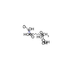 CN(C(=O)CCCCCC[C@H]1C(=O)C[C@@H](O)[C@@H]1/C=C/[C@@H](O)CCc1ccccc1)C(O)Cc1ccc(O)c(O)c1